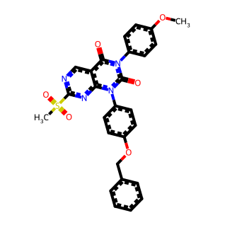 COc1ccc(-n2c(=O)c3cnc(S(C)(=O)=O)nc3n(-c3ccc(OCc4ccccc4)cc3)c2=O)cc1